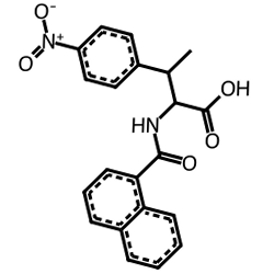 CC(c1ccc([N+](=O)[O-])cc1)C(NC(=O)c1cccc2ccccc12)C(=O)O